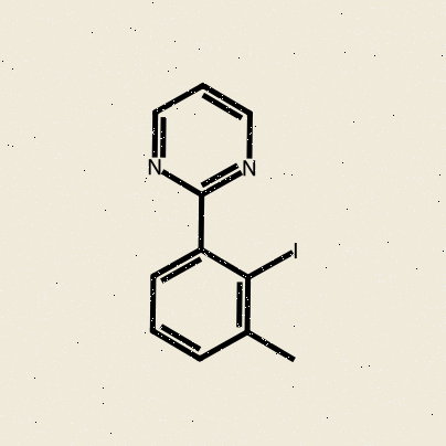 Cc1cccc(-c2ncccn2)c1I